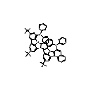 CC(C)(C)c1cc(N(c2ccccc2)c2ccccc2)c2c(c1)c1cc(C(C)(C)C)cc3c4c5c6cc(C(C)(C)C)cc7c8c9ccccc9cc(N(c9ccccc9)c9ccccc9)c8n(c5ncc4n2c13)c67